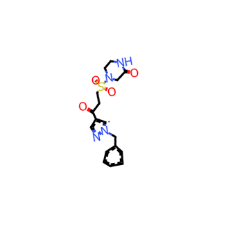 O=C1CN(S(=O)(=O)CCC(=O)c2[c]n(Cc3ccccc3)nc2)CCN1